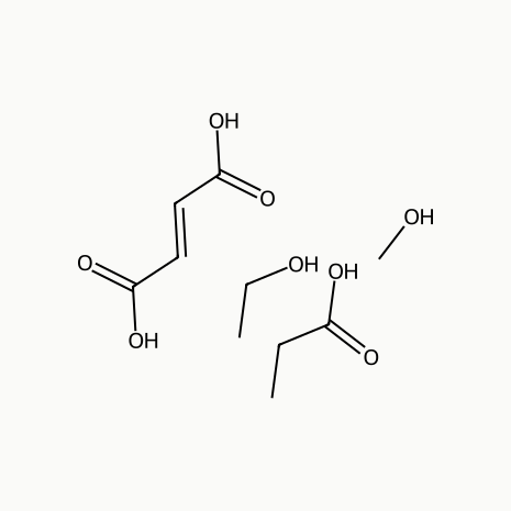 CCC(=O)O.CCO.CO.O=C(O)C=CC(=O)O